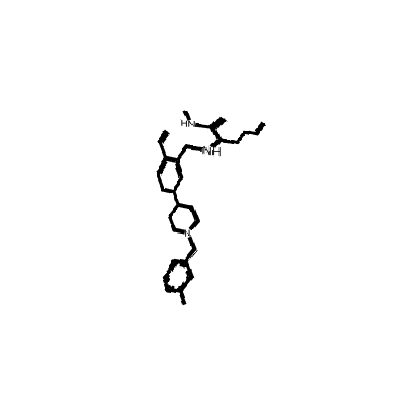 C=CCCC(NCC1=CC(C2CCN(Cc3cccc(C)c3)CC2)CC=C1C=C)C(=C)NC